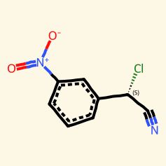 N#C[C@@H](Cl)c1cccc([N+](=O)[O-])c1